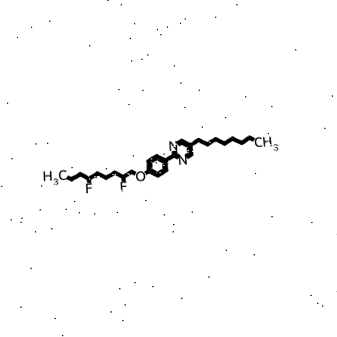 CCCCCCCCc1cnc(-c2ccc(OCC(F)CCCC(F)CCC)cc2)nc1